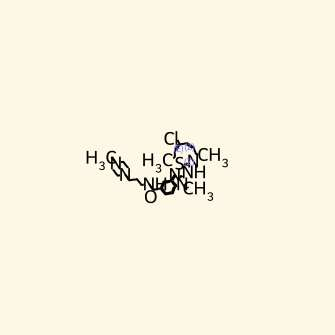 CC1/C=C\C(Cl)=C/C(C)S/C(Nc2nc3cc(C(=O)NCCCN4CCN(C)CC4)ccc3n2C)=N\1